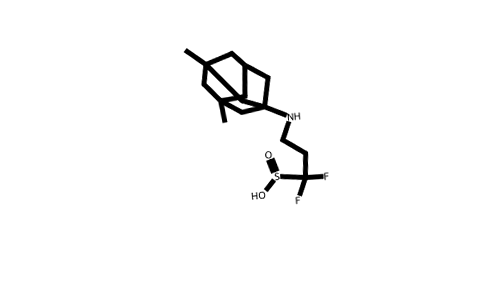 CC12CC3CC(C)(C1)CC(NCCC(F)(F)S(=O)O)(C3)C2